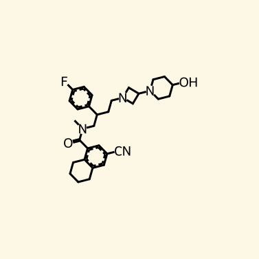 CN(CC(CCN1CC(N2CCC(O)CC2)C1)c1ccc(F)cc1)C(=O)c1cc(C#N)cc2c1CCCC2